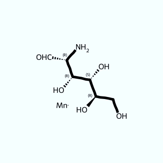 N[C@@H](C=O)[C@@H](O)[C@H](O)[C@H](O)CO.[Mn]